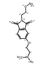 CC(=O)N(C)CCOc1ccc2c(c1)C(=O)N(CCO[N+](=O)[O-])C2=O